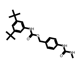 CNC(=O)Nc1ccc(COC(=O)Nc2cc(C(C)(C)C)cc(C(C)(C)C)c2)cc1